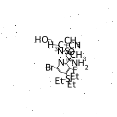 CC[Si](CC)(CC)c1cc(Br)nc([C@@](C)(N)C[S@](=O)(=NCCCO)C(C)(C)C#N)c1F